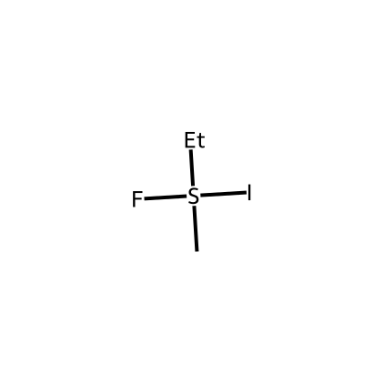 CCS(C)(F)I